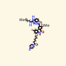 COCCNc1nc2c(NC(=O)c3ccc(C(=O)N(C)c4ccc(C)cc4OCCCCCC(=O)N4CCN(C)CC4)cc3OC)cccc2[nH]1